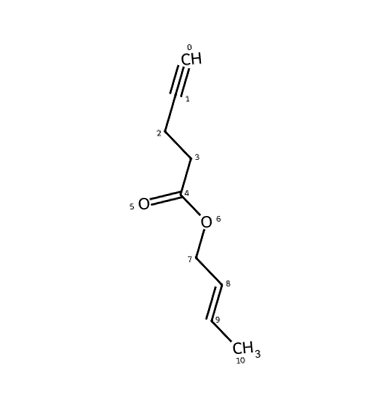 C#CCCC(=O)OCC=CC